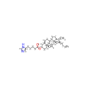 CC(C)CCCC(C)C1CCC2C3CC=C4CC(OC(=O)CCCCc5cnc[nH]5)CCC4(C)C3CCC12C